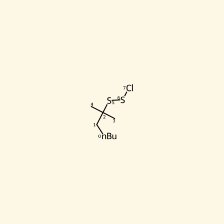 CCCCCC(C)(C)SSCl